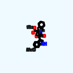 COc1ccc2c(C(=O)C(=O)N(CC3CCCCC3)C(C)(C)C(=O)OC(C)(C)C)c[nH]c2c1